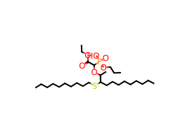 CCCCCCCCCCSC(CCCCCCCCC)C(C)OC(C(=O)OCC)P(=O)(O)OCCC